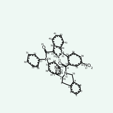 NC[C@@H]1Cc2ccccc2CN1C(=O)c1cc([N+](=O)[O-])ccc1-n1nc(C(=O)N(c2ccccc2)c2ccccc2)c2ccccc21